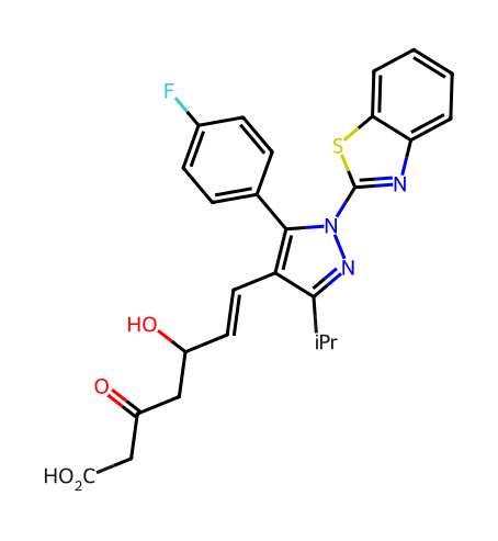 CC(C)c1nn(-c2nc3ccccc3s2)c(-c2ccc(F)cc2)c1C=CC(O)CC(=O)CC(=O)O